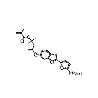 C=C(C)C(=O)OC(C)(C)CC(C)Oc1ccc2cc(-c3ccc(CCCCC)o3)oc2c1